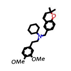 COc1ccc(CCN(Cc2ccc3c(c2)C=CC(C)(C)O3)C2CCCCC2)cc1OC